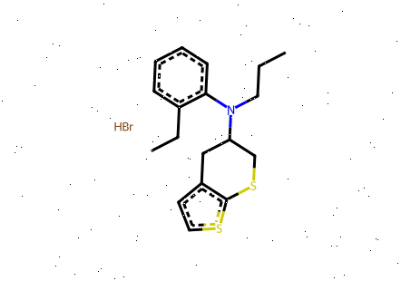 Br.CCCN(c1ccccc1CC)C1CSc2sccc2C1